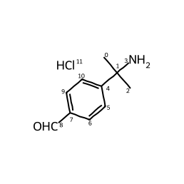 CC(C)(N)c1ccc(C=O)cc1.Cl